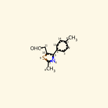 Cc1ccc(-c2nc(C)sc2CC=O)cc1